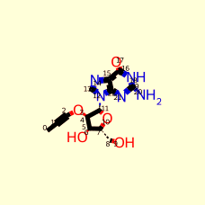 CC#CO[C@@H]1[C@@H](O)[C@@H](CO)O[C@H]1n1cnc2c(=O)[nH]c(N)nc21